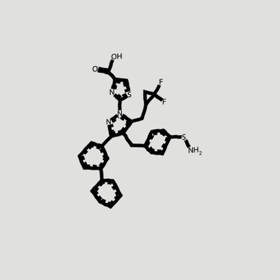 NSc1ccc(Cc2c(-c3cccc(-c4ccccc4)c3)nn(-c3nc(C(=O)O)cs3)c2CC2CC2(F)F)cc1